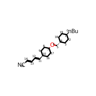 CCCC[C@H]1CC[C@H](CO[C@H]2CC[C@H](C=CC=CC#N)CC2)CC1